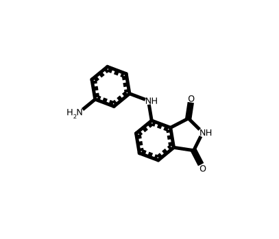 Nc1cccc(Nc2cccc3c2C(=O)NC3=O)c1